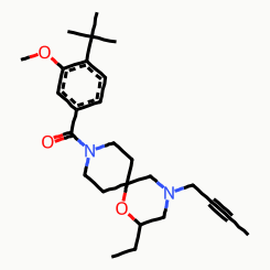 CC#CCN1CC(CC)OC2(CCN(C(=O)c3ccc(C(C)(C)C)c(OC)c3)CC2)C1